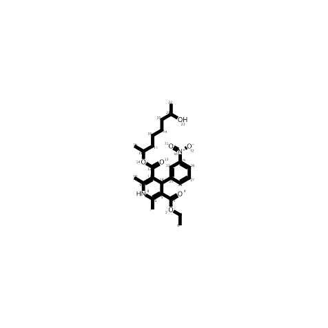 CCOC(=O)C1=C(C)NC(C)=C(C(=O)OC(C)CCCCC(C)O)C1c1cccc([N+](=O)[O-])c1